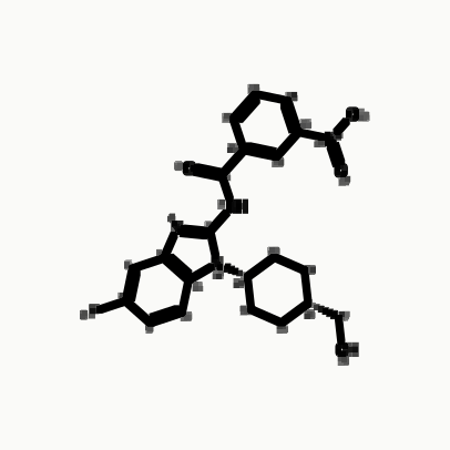 O=C(Nc1nc2cc(F)ccc2n1[C@H]1CC[C@@H](CO)CC1)c1cccc([N+](=O)[O-])c1